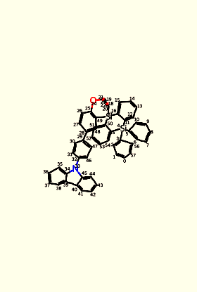 c1ccc([Si]2(c3ccccc3)c3ccccc3[Si]3(c4ccccc4Oc4ccc(-c5ccc(-n6c7ccccc7c7ccccc76)cc5)cc43)c3ccccc32)cc1